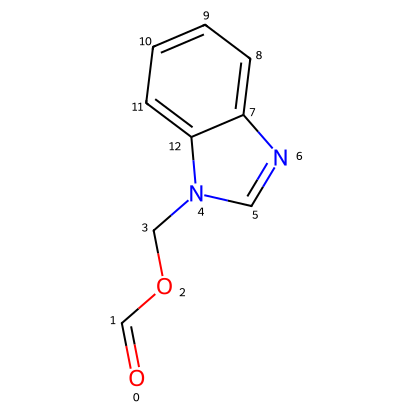 O=COCn1cnc2ccccc21